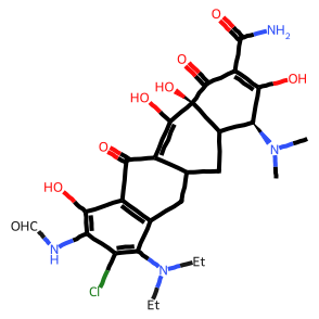 CCN(CC)c1c(Cl)c(NC=O)c(O)c2c1CC1CC3[C@H](N(C)C)C(O)=C(C(N)=O)C(=O)[C@@]3(O)C(O)=C1C2=O